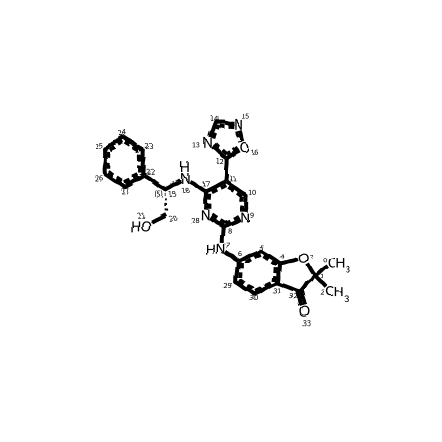 CC1(C)Oc2cc(Nc3ncc(-c4ncno4)c(N[C@H](CO)c4ccccc4)n3)ccc2C1=O